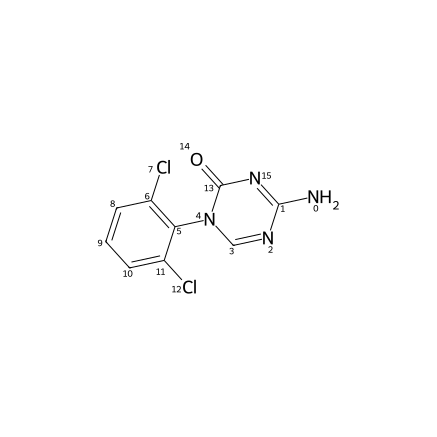 Nc1ncn(-c2c(Cl)cccc2Cl)c(=O)n1